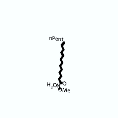 CCCCCC=CCC=CCCCCCCCC(=O)N(C)OC